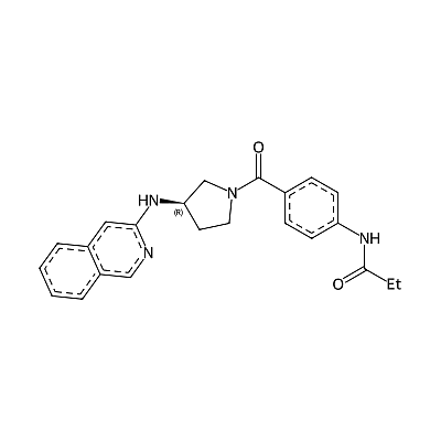 CCC(=O)Nc1ccc(C(=O)N2CC[C@@H](Nc3cc4ccccc4cn3)C2)cc1